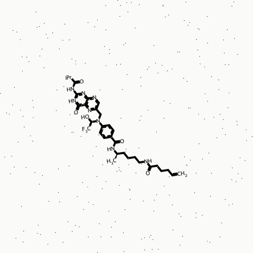 C=CCCCC(=O)NCCCC[C@@H](C)NC(=O)c1ccc(N(Cc2cnc3nc(NC(=O)C(C)C)[nH]c(=O)c3n2)C(O)C(F)(F)F)cc1